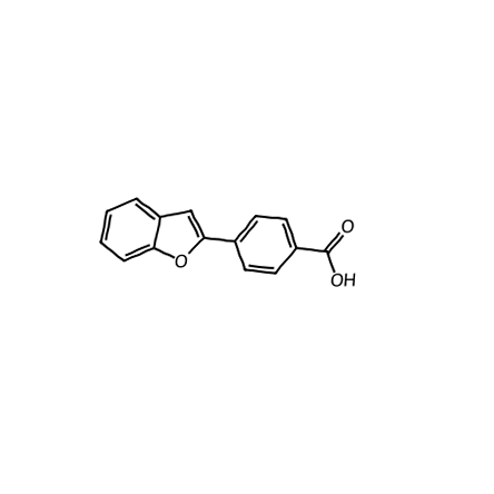 O=C(O)c1ccc(-c2cc3ccccc3o2)cc1